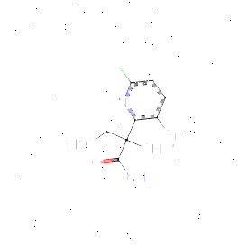 CCC(C)(C(N)=O)c1nc(Cl)ccc1Br